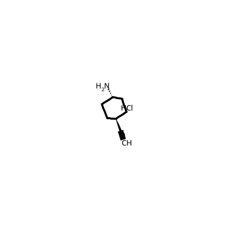 C#C[C@H]1CC[C@H](N)CC1.Cl